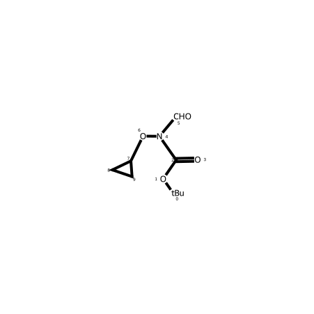 CC(C)(C)OC(=O)N(C=O)OC1CC1